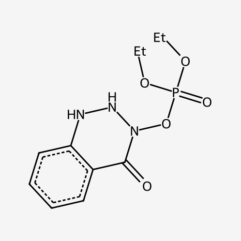 CCOP(=O)(OCC)ON1NNc2ccccc2C1=O